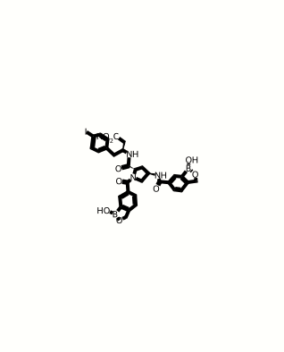 O=C(O)C[C@H](Cc1ccc(I)cc1)NC(=O)[C@@H]1C[C@@H](NC(=O)c2ccc3c(c2)B(O)OC3)CN1C(=O)c1ccc2c(c1)B(O)OC2